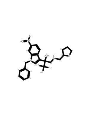 O=[N+]([O-])c1ccc2c(C(O)(CNCC3CCCO3)C(F)(F)F)cn(Cc3ccccc3)c2c1